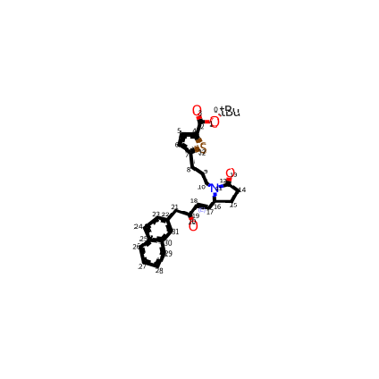 CC(C)(C)OC(=O)c1ccc(CCCN2C(=O)CCC2/C=C/C(=O)Cc2ccc3ccccc3c2)s1